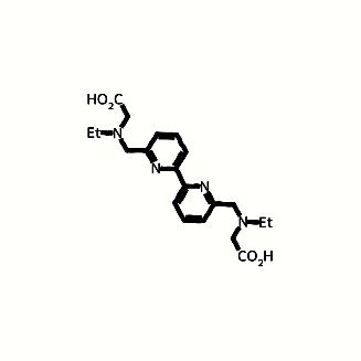 CCN(CC(=O)O)Cc1cccc(-c2cccc(CN(CC)CC(=O)O)n2)n1